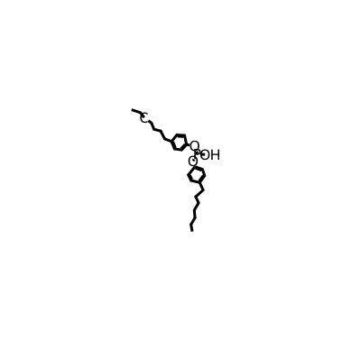 CCCCCCCc1ccc(OP(O)Oc2ccc(CCCCCCC)cc2)cc1